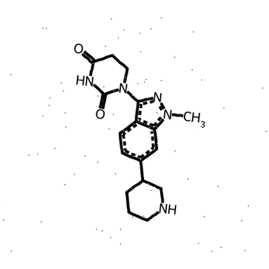 Cn1nc(N2CCC(=O)NC2=O)c2ccc(C3CCCNC3)cc21